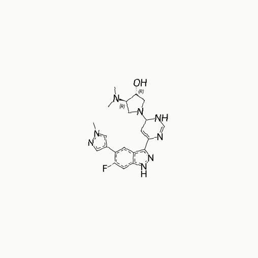 CN(C)[C@@H]1CN(C2C=C(c3n[nH]c4cc(F)c(-c5cnn(C)c5)cc34)N=CN2)C[C@H]1O